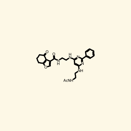 CC(=O)NCCNc1cc(NCCNC(=O)c2coc3c2C(=O)CCC3)nc(-c2ccccc2)n1